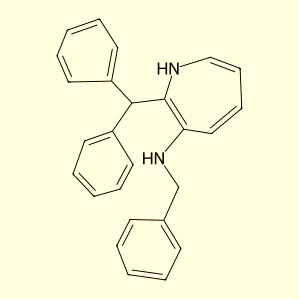 C1=CNC(C(c2ccccc2)c2ccccc2)=C(NCc2ccccc2)C=C1